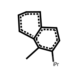 Cc1c(C(C)C)ccc2ccccc12